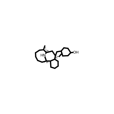 CC[C@@]1(CC2CCC(O)CC2)C[C@@]2(C)N[C@](C)(CCCCCC2C)C2CCCCC21